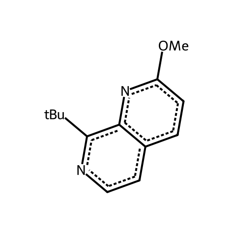 COc1ccc2ccnc(C(C)(C)C)c2n1